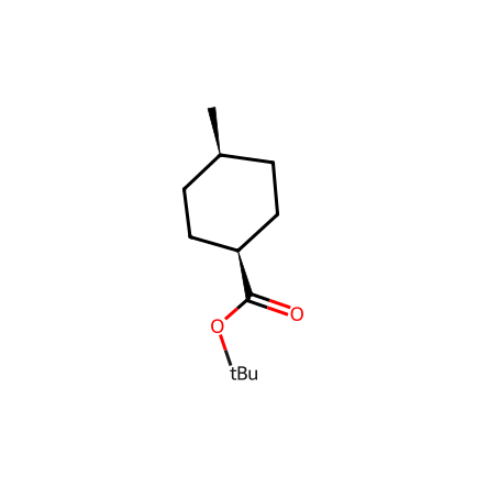 CC(C)(C)OC(=O)[C@H]1CC[C@@H](C)CC1